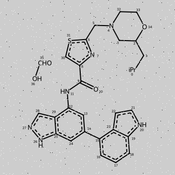 CC(C)CC1CN(Cc2nc(C(=O)Nc3cc(-c4cccc5[nH]ccc45)cc4[nH]ncc34)cs2)CCO1.O=CO